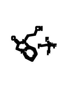 F[B-](F)(F)F.N#CCCN1C(=O)C[n+]2ccccc21